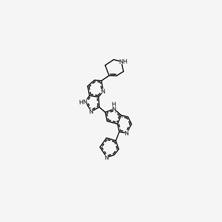 C1=C(c2ccc3[nH]nc(-c4cc5c(-c6ccncc6)nccc5[nH]4)c3n2)CCNC1